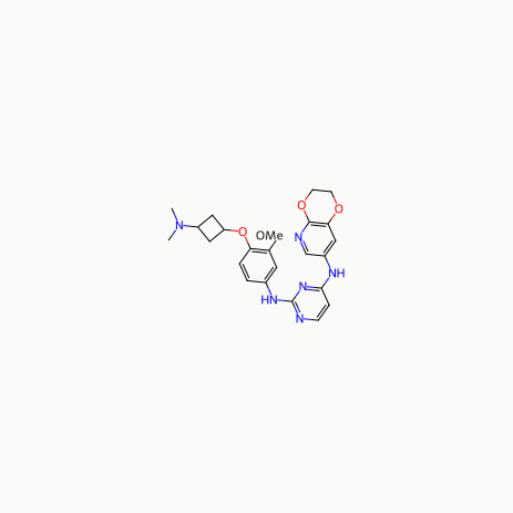 COc1cc(Nc2nccc(Nc3cnc4c(c3)OCCO4)n2)ccc1OC1CC(N(C)C)C1